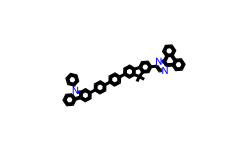 CC1(C)c2cc(-c3ccc(-c4ccc(-c5ccc6c7ccccc7n(-c7ccccc7)c6c5)cc4)cc3)ccc2-c2ccc(-c3cnc4c5ccccc5c5ccccc5c4n3)cc21